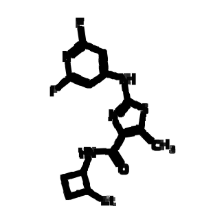 CCC1CCC1NC(=O)c1nc(Nc2cc(F)nc(F)c2)sc1C